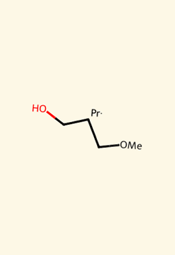 COCCCO.[Pr]